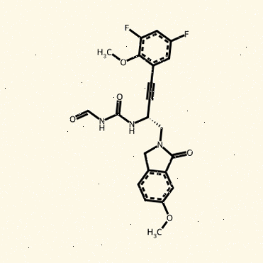 COc1ccc2c(c1)C(=O)N(C[C@@H](C#Cc1cc(F)cc(F)c1OC)NC(=O)NC=O)C2